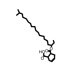 CCC(CCCCCCCCCCCCCCC(C)C)OC(=O)C1CC=CCC1C(=O)O